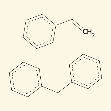 C=Cc1ccccc1.c1ccc(Cc2ccccc2)cc1